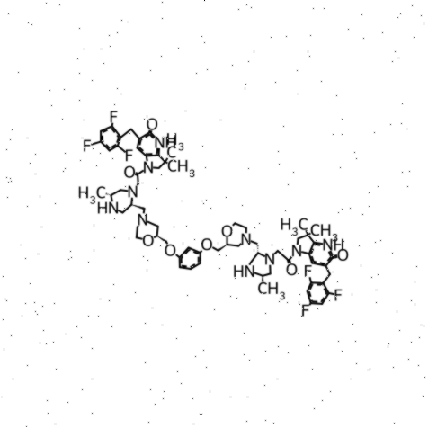 C[C@@H]1CN(CC(=O)N2CC(C)(C)c3[nH]c(=O)c(Cc4c(F)cc(F)cc4F)cc32)[C@@H](CN2CCO[C@H](COc3cccc(OC[C@@H]4CN(C[C@H]5CN[C@H](C)CN5CC(=O)N5CC(C)(C)c6[nH]c(=O)c(Cc7c(F)cc(F)cc7F)cc65)CCO4)c3)C2)CN1